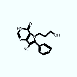 N#Cc1c(-c2ccccc2)n(CCCO)c2c(=O)[nH]cnc12